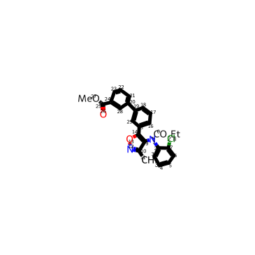 CCOC(=O)N(c1ccccc1Cl)c1c(C)noc1-c1cccc(-c2cccc(C(=O)OC)c2)c1